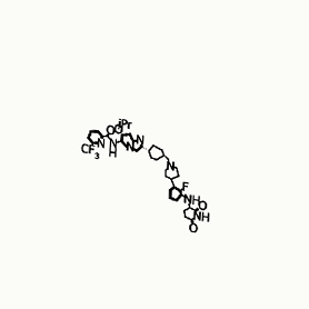 CC(C)Oc1cc2nc([C@H]3CC[C@H](CN4CCC(c5cccc(NC6CCC(=O)NC6=O)c5F)CC4)CC3)cn2cc1NC(=O)c1cccc(C(F)(F)F)n1